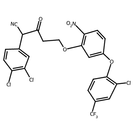 N#CC(C(=O)CCOc1cc(Oc2ccc(C(F)(F)F)cc2Cl)ccc1[N+](=O)[O-])c1ccc(Cl)c(Cl)c1